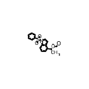 CC(OC=O)c1cccc2c1ccn2S(=O)(=O)c1ccccc1